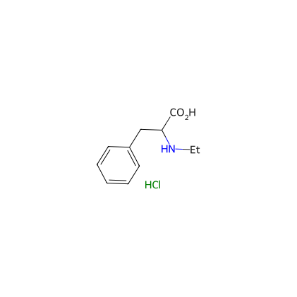 CCNC(Cc1ccccc1)C(=O)O.Cl